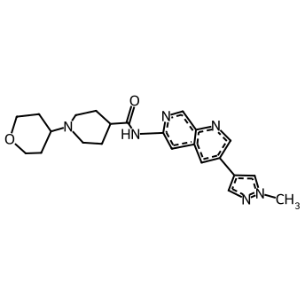 Cn1cc(-c2cnc3cnc(NC(=O)C4CCN(C5CCOCC5)CC4)cc3c2)cn1